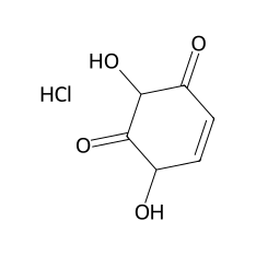 Cl.O=C1C=CC(O)C(=O)C1O